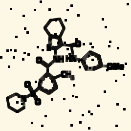 COc1ccc(NC(=O)c2c(NC(=O)c3cc(S(=O)(=O)N4CCCCC4)ccc3C)sc3c2CCCC3)cc1